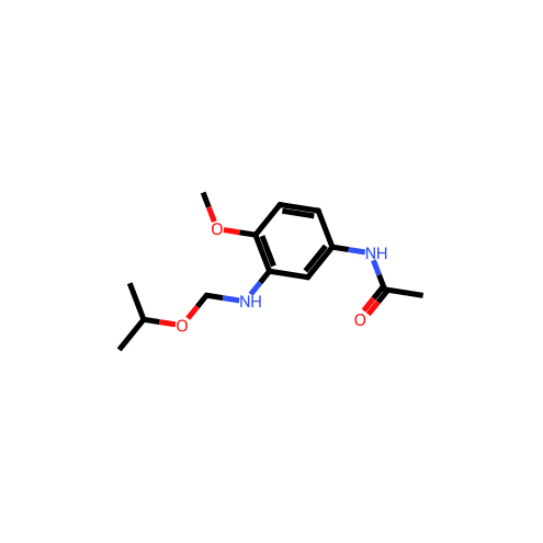 COc1ccc(NC(C)=O)cc1NCOC(C)C